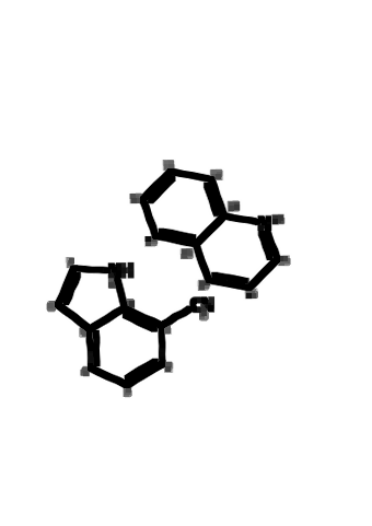 N#Cc1cccc2cc[nH]c12.c1ccc2ncccc2c1